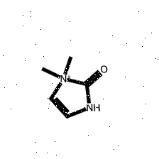 C[N+]1(C)[C]=CNC1=O